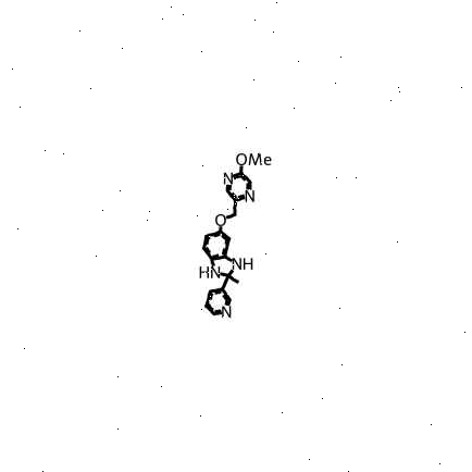 COc1cnc(COc2ccc3c(c2)NC(C)(c2cccnc2)N3)cn1